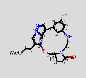 COCCc1cn2ncc3c2nc1OC[C@@H]1CCC(=O)N1CCNc1cc(F)cc-3c1